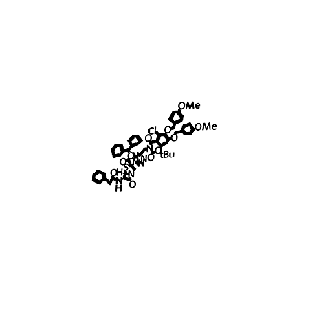 COc1ccc(COc2ccc(C(=O)N(Cc3nnn([C@]4(C(=O)OC(c5ccccc5)c5ccccc5)CN5C(=O)[C@@H](NC(=O)Cc6ccccc6)[C@H]5S4)n3)C(=O)OC(C)(C)C)c(Cl)c2OCc2ccc(OC)cc2)cc1